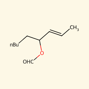 C/C=C/C(CCCCC)OC=O